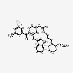 COCC1COCCN1CCON=C(C)CN1CCN(C(=O)c2cc(C(F)(F)F)cc(C(F)(F)F)c2)[C@H](Cc2c[nH]c3ccccc23)C1